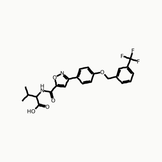 CC(C)C(NC(=O)c1cc(-c2ccc(OCc3cccc(C(F)(F)F)c3)cc2)no1)C(=O)O